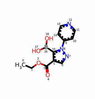 CCOC(=O)c1cnn(-c2ccncc2)c1B(O)O